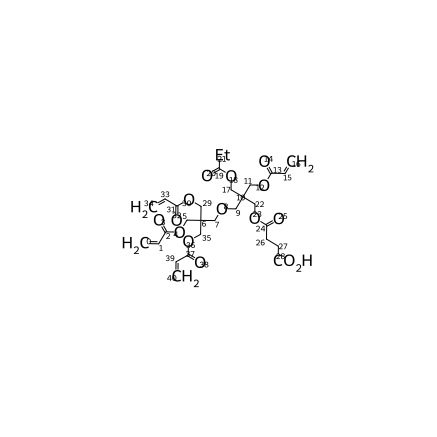 C=CC(=O)OCC(COCC(COC(=O)C=C)(COC(=O)CC)COC(=O)CCC(=O)O)(COC(=O)C=C)COC(=O)C=C